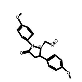 COc1ccc(C2CC(=O)N(c3ccc(OC)cc3)[C@H]2CN=O)cc1